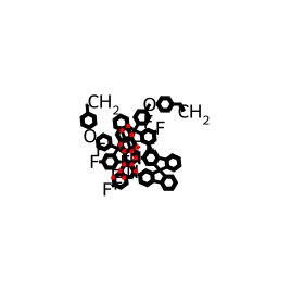 C=Cc1ccc(Oc2ccc(C3(c4c(F)c(F)cc(F)c4F)c4ccccc4-c4ccc(N(c5ccc(F)cc5)c5ccc6c(c5)C5(c7ccccc7-6)c6ccccc6-c6ccc(N(c7ccc(F)cc7)c7ccc8c(c7)C(c7ccc(Oc9ccc(C=C)cc9)cc7)(c7c(F)c(F)cc(F)c7F)c7ccccc7-8)cc65)cc43)cc2)cc1